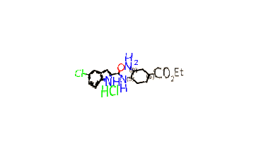 CCOC(=O)[C@H]1CC[C@H](NC(=O)c2cc3cc(Cl)ccc3[nH]2)[C@H](N)C1.Cl